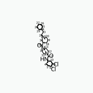 O=C(Nc1ccc(Cl)c(Cl)c1)N1CCN(C(=O)[C@@H]2CCCN(CCc3ccccc3)C2)CC1